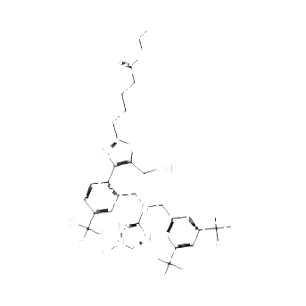 CCOC(=O)CCCCc1nc(-c2ccc(C(F)(F)F)cc2CN(Cc2cc(C(F)(F)F)cc(C(F)(F)F)c2)c2nnn(C)n2)c(CC)s1